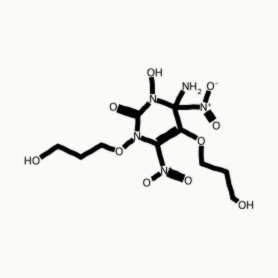 NC1([N+](=O)[O-])C(OCCCO)=C([N+](=O)[O-])N(OCCCO)C(=O)N1O